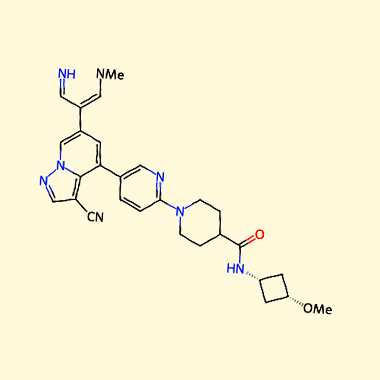 CN/C=C(\C=N)c1cc(-c2ccc(N3CCC(C(=O)N[C@H]4C[C@@H](OC)C4)CC3)nc2)c2c(C#N)cnn2c1